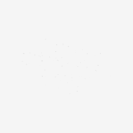 c1ccc(N(c2ccccc2)c2cc3c4c(c2)N(c2ccccc2)c2cc5c(cc2B4c2ccccc2S3)B2c3ccccc3Sc3cc(N(c4ccccc4)c4ccccc4)cc(c32)N5c2ccccc2)cc1